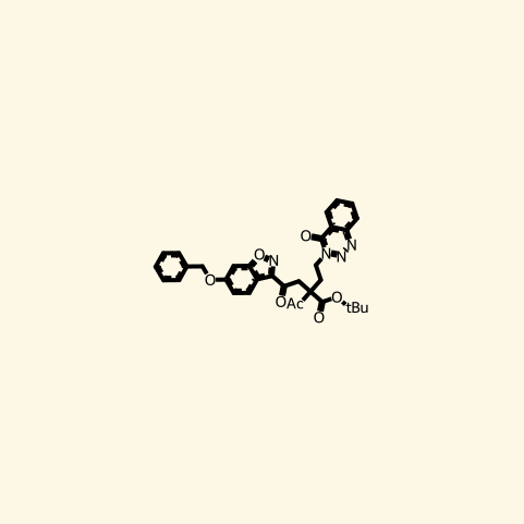 CC(=O)C(CCn1nnc2ccccc2c1=O)(CC(=O)c1noc2cc(OCc3ccccc3)ccc12)C(=O)OC(C)(C)C